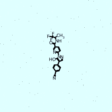 CC(NC(=O)c1ccc(-n2ncc(-c3ccc(C#N)cc3)c2O)nc1)C(F)(F)F